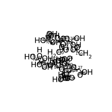 C=CC(=O)OC[C@H](OC(=O)C=C)[C@@H](OC(=O)C=C)[C@H](O)[C@H](O)CO.O=C(O)C=COC(C=CC(=O)O)(C=CC(=O)O)C(CO)(CO)C(C=CC(=O)O)(C=CC(=O)O)OC=CC(=O)OC[C@H](O)[C@@H](O)[C@H](O)[C@H](O)CO.OCC(CO)(CO)CO